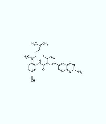 C#Cc1ccc(N(C)CCCN(C)C)c(NC(=O)c2cc(-c3ccc4nc(N)ncc4c3)ccc2F)c1